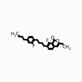 C=CCCc1ccc(CCCCc2ccc3cc(CC)oc(=O)c3c2F)c(F)c1